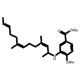 CC=CCCC(C)=CCCC(C)=CC(C)Nc1cc(C(=O)OC)ccc1OC